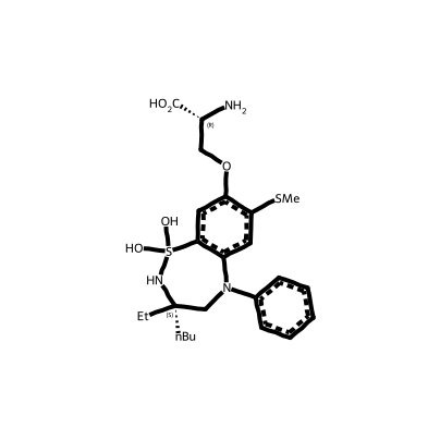 CCCC[C@@]1(CC)CN(c2ccccc2)c2cc(SC)c(OC[C@@H](N)C(=O)O)cc2S(O)(O)N1